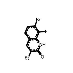 CCc1cc2ccc(Br)c(F)c2[nH]c1=O